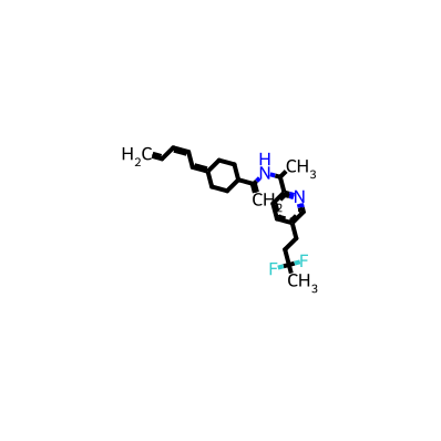 C=C/C=C\C=C1CCC(C(=C)NC(C)c2ccc(CCC(C)(F)F)cn2)CC1